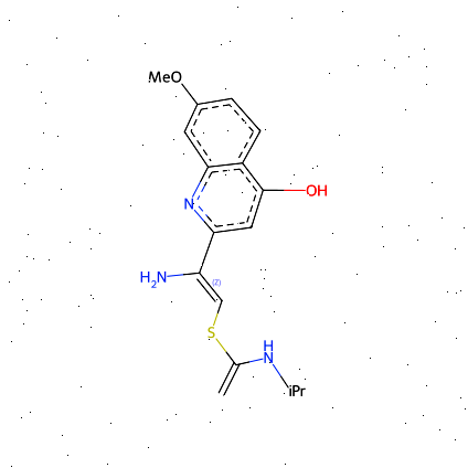 C=C(NC(C)C)S/C=C(\N)c1cc(O)c2ccc(OC)cc2n1